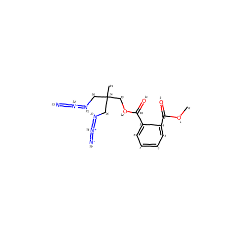 COC(=O)c1ccccc1C(=O)OCC(C)(CN=[N+]=[N-])CN=[N+]=[N-]